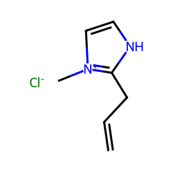 C=CCc1[nH]cc[n+]1C.[Cl-]